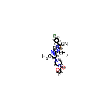 CCc1nn2c(C)cc(N3CCCN(C(=O)C4CCCO4)CCC3)cc2c1N(C)c1nc(-c2ccc(F)cc2)c(C#N)s1